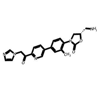 Cc1cc(-c2ccc(C(=O)Cn3ccnc3)nc2)ccc1N1C[C@H](CN)OC1=O